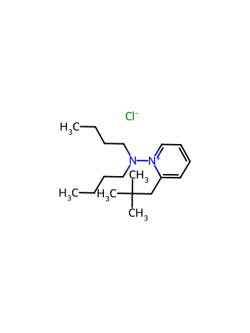 CCCCN(CCCC)[n+]1ccccc1CC(C)(C)C.[Cl-]